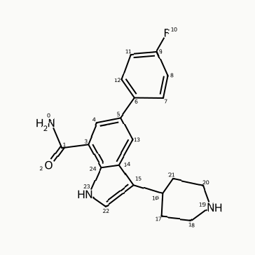 NC(=O)c1cc(-c2ccc(F)cc2)cc2c(C3CCNCC3)c[nH]c12